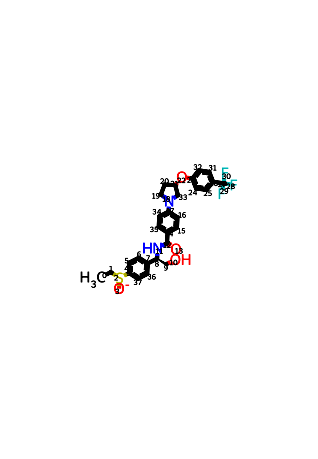 CC[S+]([O-])c1ccc([C@H](CO)NC(=O)c2ccc(N3CCC(Oc4ccc(C(F)(F)F)cc4)C3)cc2)cc1